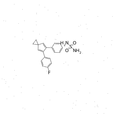 Fc1ccc(C2=CC3(C=C2c2ccccc2)CC3)cc1.NS(N)(=O)=O